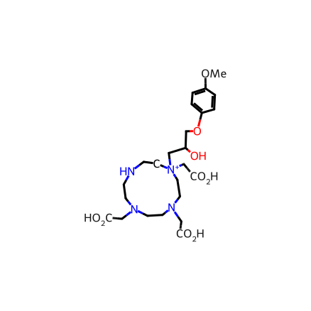 COc1ccc(OCC(O)C[N+]2(CC(=O)O)CCNCCN(CC(=O)O)CCN(CC(=O)O)CC2)cc1